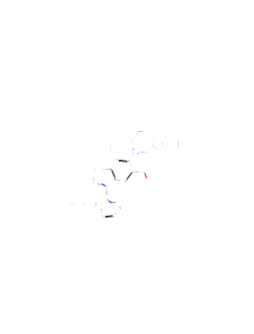 C[C@@H]1CN(c2c(C=O)cc3c(-c4nccn4C)noc3c2F)C[C@H](C)O1